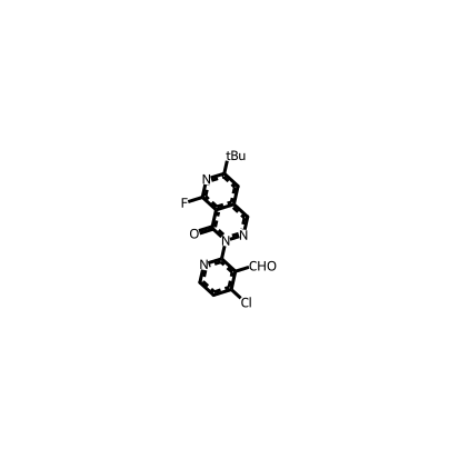 CC(C)(C)c1cc2cnn(-c3nccc(Cl)c3C=O)c(=O)c2c(F)n1